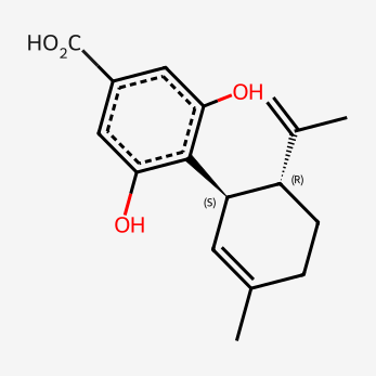 C=C(C)[C@@H]1CCC(C)=C[C@H]1c1c(O)cc(C(=O)O)cc1O